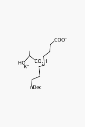 CC(O)C(=O)O.CCCCCCCCCCCCCCCCCC(=O)[O-].[K+]